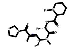 C/C(=C\[C@H](C(C)C)N(C)C(=O)[C@@H](NC(=O)C1CCCCN1C(C)C)C(C)C)C(=O)N1CCSC1